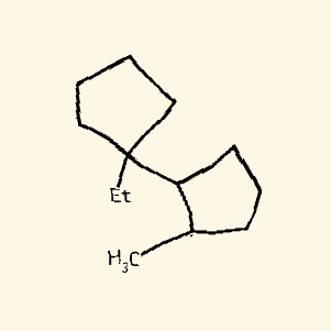 CCC1(C2CCC[C]2C)CCCC1